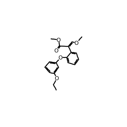 CCOc1cccc(Oc2ccccc2/C(=C\OC)C(=O)OC)c1